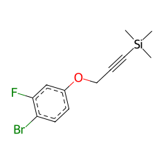 C[Si](C)(C)C#CCOc1ccc(Br)c(F)c1